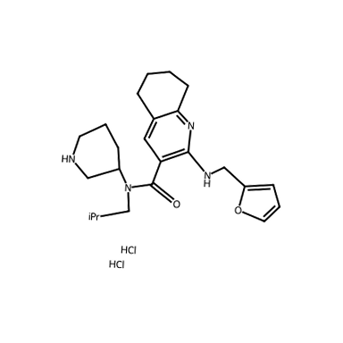 CC(C)CN(C(=O)c1cc2c(nc1NCc1ccco1)CCCC2)C1CCCNC1.Cl.Cl